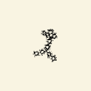 c1ccc(-c2ccc(N(c3ccc(-c4ccccc4)cc3)c3ccc(-c4ccc(N5c6ccccc6-c6nccc7c6c5nc5ccccc57)cc4)cc3)cc2)cc1